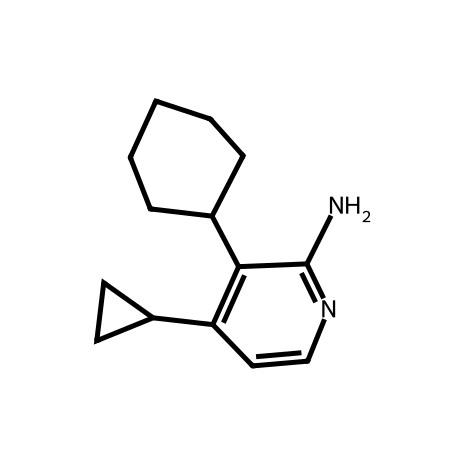 Nc1nccc(C2CC2)c1C1CCCCC1